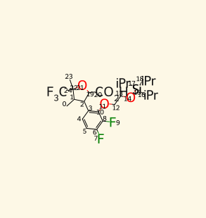 CC1C(c2ccc(F)c(F)c2OCCO[Si](C(C)C)(C(C)C)C(C)C)C(C(=O)O)OC1(C)C(F)(F)F